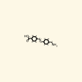 NCc1ccc(SSc2ccc(C(=O)O)cc2)cc1